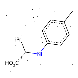 Cc1ccc(N[C@H](C(=O)O)C(C)C)cc1